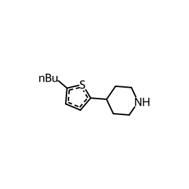 CCCCc1ccc(C2CCNCC2)s1